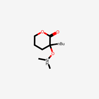 CCCCC1(O[SiH](C)C)CCCOC1=O